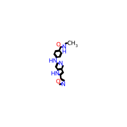 CCNC(=O)c1ccc(Nc2cc3[nH]c(-c4cnco4)cc3cn2)cc1